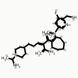 C=C(P)/C(=C\CCC1CCN(C(C)N)CC1)C(=C)C1=C(N(C)c2cnc(CS)c(F)c2)CCCCC1